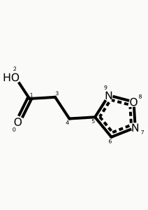 O=C(O)CCc1cnon1